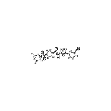 C[C@@H]1C[C@H](C)CN(S(=O)(=O)c2ccc(C(=O)Nc3nnc(-c4cccc(C#N)c4)o3)cc2)C1